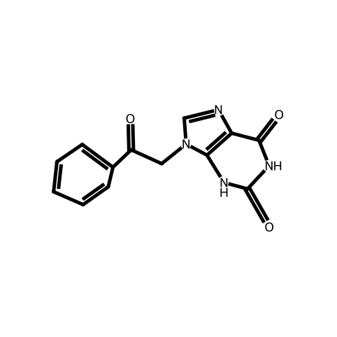 O=C(Cn1cnc2c(=O)[nH]c(=O)[nH]c21)c1ccccc1